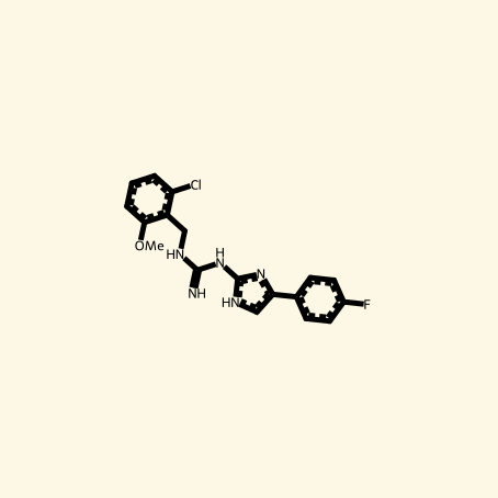 COc1cccc(Cl)c1CNC(=N)Nc1nc(-c2ccc(F)cc2)c[nH]1